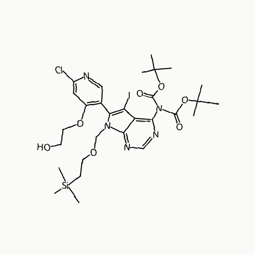 CC(C)(C)OC(=O)N(C(=O)OC(C)(C)C)c1ncnc2c1c(I)c(-c1cnc(Cl)cc1OCCO)n2COCC[Si](C)(C)C